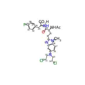 CC(=O)N[C@@H](CCc1nc2cc(N(CCCl)CCCl)ccc2n1C)C(=O)N[C@@H](Cc1ccc(F)cc1)C(=O)O